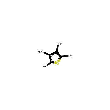 CC(=O)c1sc(C(C)C)c(C(C)C)c1C